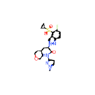 Cn1ccc(NC(=O)C(CC2CCOCC2)n2cc3c(S(=O)(=O)C4CC4)c(F)ccc3n2)n1